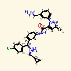 NCc1cccc(-n2nc(C(F)(F)F)cc2C(=O)Nc2cccc(C(NCC3CC3)c3ccc(Cl)cc3)c2)c1